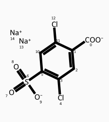 O=C([O-])c1cc(Cl)c(S(=O)(=O)[O-])cc1Cl.[Na+].[Na+]